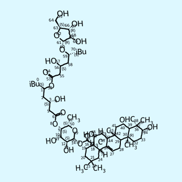 CC[C@H](C)C(C[C@H](O)CC(=O)O[C@H]1[C@@H](O)[C@H](O)[C@@H](OC(=O)[C@]23CCC(C)(C)C[C@H]2C2=CCC4[C@@]5(C)CC[C@H](O)[C@@](C)(C=O)C5CC[C@@]4(C)[C@]2(C)C[C@H]3O)O[C@H]1C)OC(=O)C[C@@H](O)CC(O[C@@H]1O[C@@H](CO)[C@H](O)[C@H]1O)[C@@H](C)CC